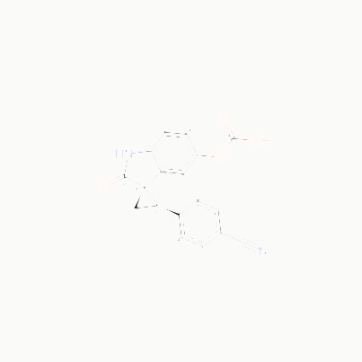 N#Cc1ccc([C@H]2C[C@]23C(=O)Nc2ccc(OC(=O)O)cc23)cc1